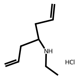 C=CCC(CC=C)NCC.Cl